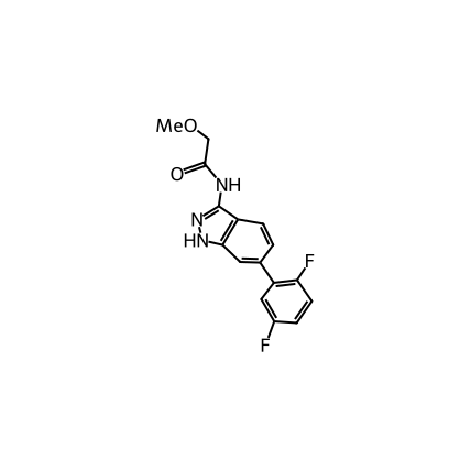 COCC(=O)Nc1n[nH]c2cc(-c3cc(F)ccc3F)ccc12